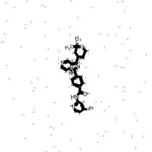 CCCc1ccnc(NC(=O)c2ccc(C3=NC(C4CCOC(C)(C)C4)=C4C=NC=C[N+]34N)cc2)c1